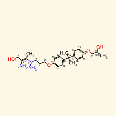 C/C(=C(/N)CO)N(N)CCCOc1ccc(C(C)(C)c2ccc(OC[C@H](C)O)cc2)cc1